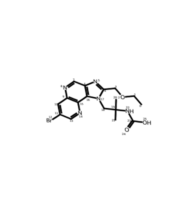 CCOCc1nc2cnc3cc(Br)cnc3c2n1CC(C)(C)NC(=O)O